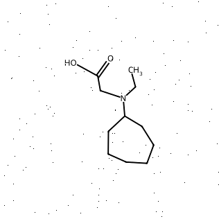 CCN(CC(=O)O)C1CCCCCC1